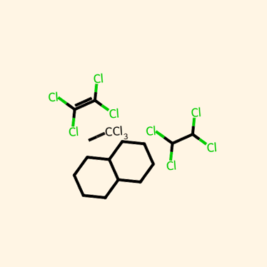 C1CCC2CCCCC2C1.CC(Cl)(Cl)Cl.ClC(Cl)=C(Cl)Cl.ClC(Cl)C(Cl)Cl